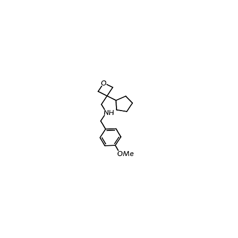 COc1ccc(CNCC2(C3CCCC3)COC2)cc1